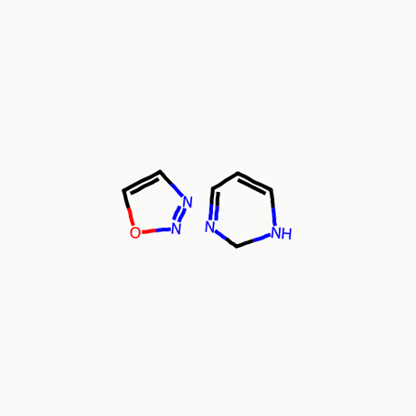 C1=CNCN=C1.c1conn1